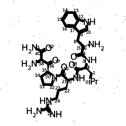 CC(C)C[C@H](NC(=O)[C@@H](N)Cc1c[nH]c2ccccc12)C(=O)N[C@@H](CCCNC(=N)N)C(=O)N1CCC[C@H]1C(=O)C(N)C(N)=O